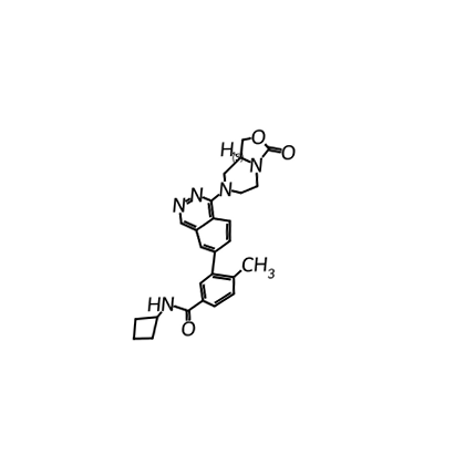 Cc1ccc(C(=O)NC2CCC2)cc1-c1ccc2c(N3CCN4C(=O)OC[C@@H]4C3)nncc2c1